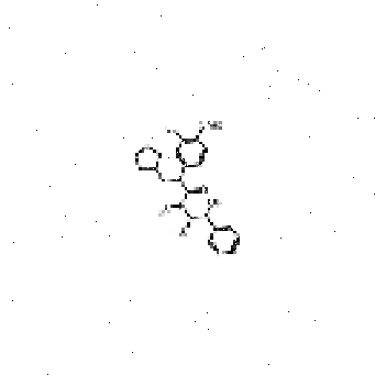 CSc1ccc(C(CC2CCCC2)C(=O)N(C)C(C)C(O)c2ccccc2)cc1Cl